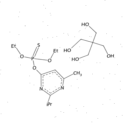 CCOP(=S)(OCC)Oc1cc(C)nc(C(C)C)n1.OCC(CO)(CO)CO